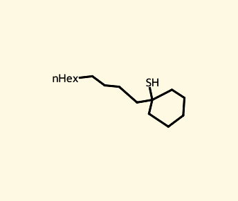 CCCCCCCCCCC1(S)CCCCC1